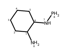 NC1CCCCC1NP